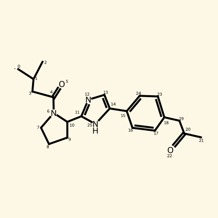 [CH2]C(C)CC(=O)N1CCCC1c1ncc(-c2ccc(CC(C)=O)cc2)[nH]1